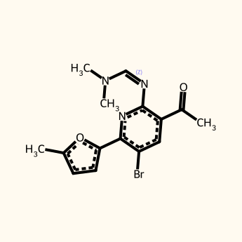 CC(=O)c1cc(Br)c(-c2ccc(C)o2)nc1/N=C\N(C)C